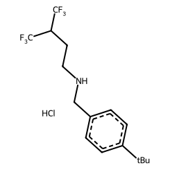 CC(C)(C)c1ccc(CNCCC(C(F)(F)F)C(F)(F)F)cc1.Cl